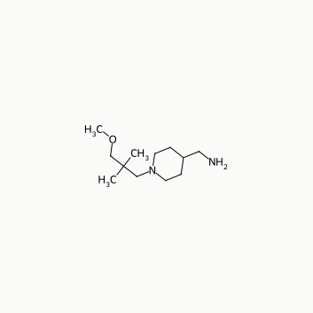 COCC(C)(C)CN1CCC(CN)CC1